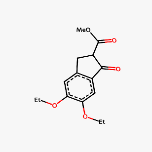 CCOc1cc2c(cc1OCC)C(=O)C(C(=O)OC)C2